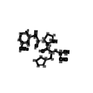 COc1ccnc(NC(=O)[C@@H]2CCNN2C(=O)[C@H](CC2CCCC2)CN(O)C=O)n1